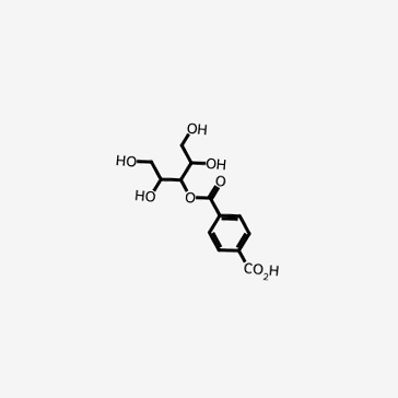 O=C(O)c1ccc(C(=O)OC(C(O)CO)C(O)CO)cc1